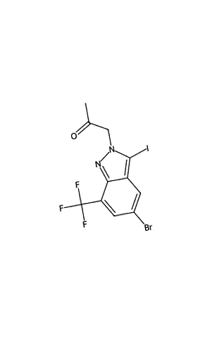 CC(=O)Cn1nc2c(C(F)(F)F)cc(Br)cc2c1I